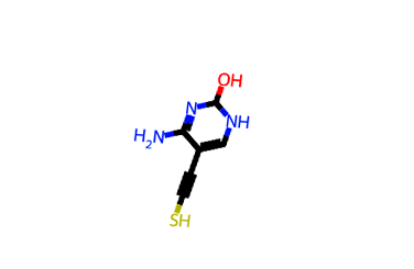 NC1=NC(O)NC=C1C#CS